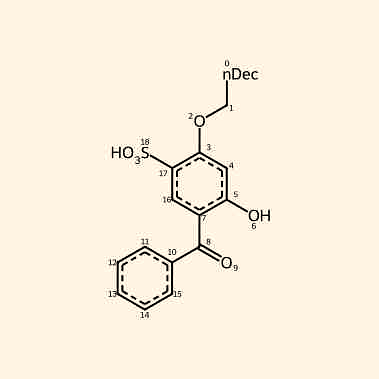 CCCCCCCCCCCOc1cc(O)c(C(=O)c2ccccc2)cc1S(=O)(=O)O